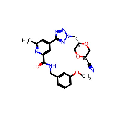 COc1cccc(CNC(=O)c2cc(-c3nnn(C[C@H]4CO[C@H](C#N)CO4)n3)cc(C)n2)c1